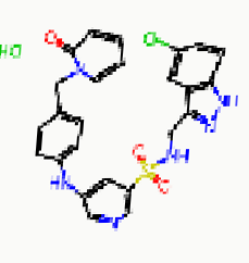 Cl.O=c1ccccn1Cc1ccc(Nc2cncc(S(=O)(=O)NCc3n[nH]c4ccc(Cl)cc34)c2)cc1